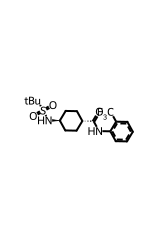 CC(C)(C)S(=O)(=O)N[C@H]1CC[C@H](C(=O)Nc2ccccc2C(F)(F)F)CC1